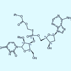 CO[C@@H]1C(n2ccc(=O)[nH]c2=O)O[C@H](CO)[C@@H]1O[P@](=O)(OC[C@H]1O[C@@H](n2cnc3c(N)ncnc32)C[C@H]1O)SCOC(=O)OC(C)C